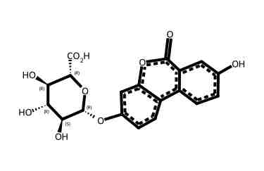 O=C(O)[C@@H]1O[C@H](Oc2ccc3c(c2)oc(=O)c2cc(O)ccc23)[C@@H](O)[C@H](O)[C@H]1O